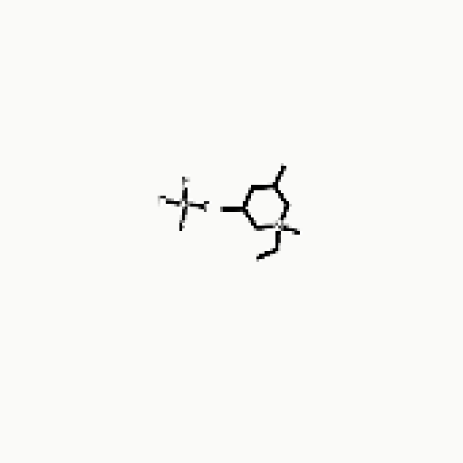 CC[N+]1(C)CC(C)CC(C)C1.F[B-](F)(F)F